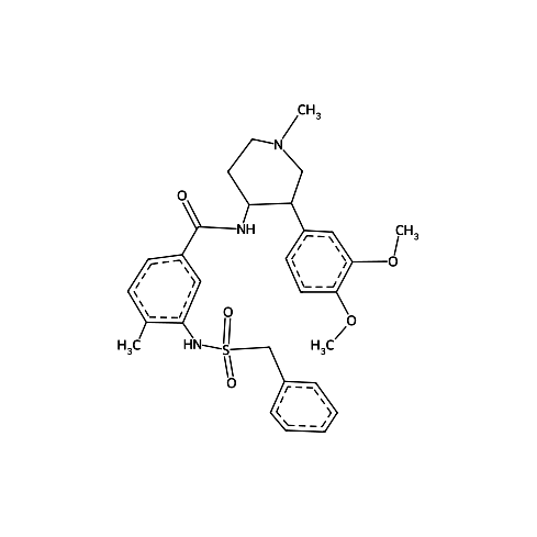 COc1ccc(C2CN(C)CCC2NC(=O)c2ccc(C)c(NS(=O)(=O)Cc3ccccc3)c2)cc1OC